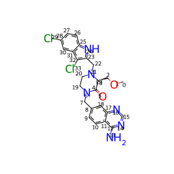 COC[C@H]1C(=O)N(Cc2ccc3c(N)ncnc3c2)CCN1Cc1[nH]c2ccc(Cl)cc2c1Cl